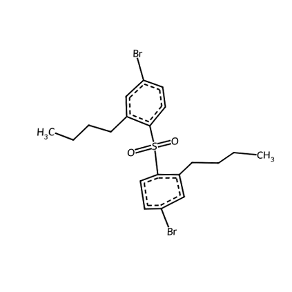 CCCCc1cc(Br)ccc1S(=O)(=O)c1ccc(Br)cc1CCCC